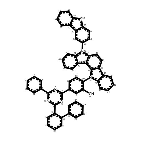 N#Cc1cc(-c2nc(-c3ccccc3)nc(-c3ccccc3-c3ccccc3)n2)ccc1-n1c2ccccc2c2ccc3c(c4ccccc4n3-c3ccc4sc5ccccc5c4c3)c21